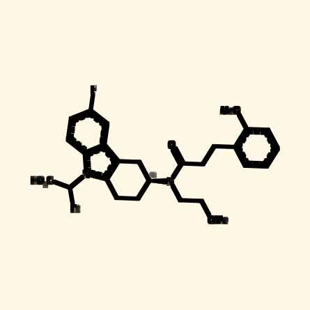 CCC(C(=O)O)n1c2c(c3cc(F)ccc31)C[C@@H](N(CCOC)C(=O)CCc1ccccc1OC)CC2